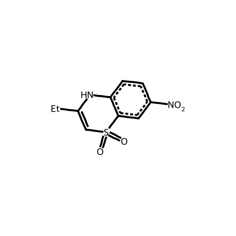 CCC1=CS(=O)(=O)c2cc([N+](=O)[O-])ccc2N1